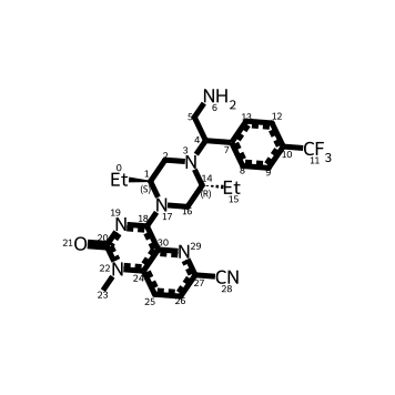 CC[C@H]1CN(C(CN)c2ccc(C(F)(F)F)cc2)[C@H](CC)CN1c1nc(=O)n(C)c2ccc(C#N)nc12